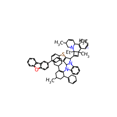 C/C=C\C1=C(C)C2C=CC(C)CN2C2(CC)C(C3C4=C(C5C=C(c6ccc7oc8ccccc8c7c6)C=CC5S4)C4N(C5=C(C6CC=CCC6)CC(C)CC5C5=CC=CCC5)c5ccccc5N34)=CC12C